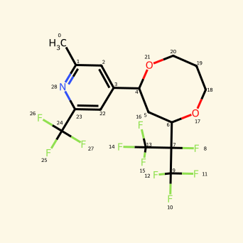 Cc1cc(C2CC(C(F)(C(F)(F)F)C(F)(F)F)OCCCO2)cc(C(F)(F)F)n1